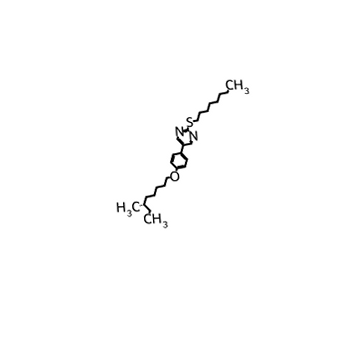 CCCCCCCCSc1ncc(-c2ccc(OCCCCC[C@@H](C)CC)cc2)cn1